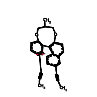 CC#Cc1ccc2c3c(ccc2c1)OCC(C)COc1ccc2cc(C#CC)ccc2c1-3